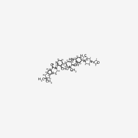 C[C@@H]1CN(C2COC2)CCN1c1ccc(NC2=CC(c3ccnc(N4CCn5c(cc6c5CC(C)(C)C6)C4=O)c3C=O)=CN(C)C2O)nc1